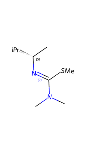 CS/C(=N\[C@@H](C)C(C)C)N(C)C